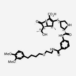 COc1ccc(CCCCOCCNC(=O)c2cccc(NC(=O)[C@@H]3C[C@H](SC4=C(C(=O)O)N5C(=O)[C@H]([C@@H](C)O)C5[C@H]4C)CN3)c2)cc1OC